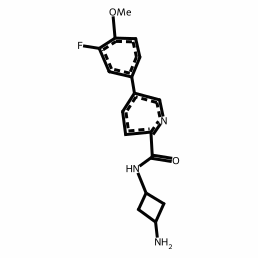 COc1ccc(-c2ccc(C(=O)NC3CC(N)C3)nc2)cc1F